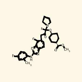 COC(=O)[C@H]1CC[C@H](OC(F)(C(=O)Cc2ccc3nc(Nc4ccc(F)cc4C)oc3c2F)N2CCCC2)CC1